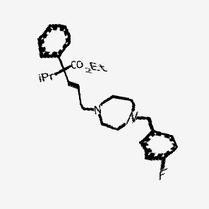 CCOC(=O)C(CCCN1CCN(Cc2ccc(F)cc2)CC1)(c1ccccc1)C(C)C